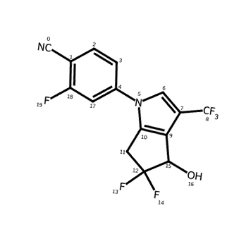 N#Cc1ccc(-n2cc(C(F)(F)F)c3c2CC(F)(F)C3O)cc1F